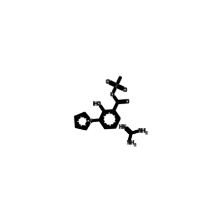 CS(=O)(=O)OC(=O)c1cccc(-n2cccc2)c1O.N=C(N)N